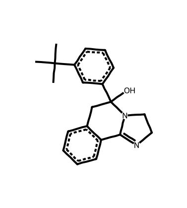 CC(C)(C)c1cccc(C2(O)Cc3ccccc3C3=NCCN32)c1